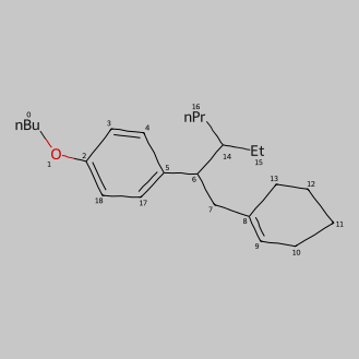 CCCCOc1ccc(C(CC2=CCCCC2)C(CC)CCC)cc1